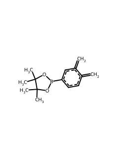 C=c1ccc(B2OC(C)(C)C(C)(C)O2)cc1=C